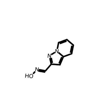 O/N=C/c1cc2ccccn2n1